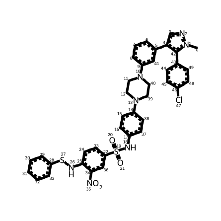 Cn1ncc(-c2cccc(N3CCN(c4ccc(NS(=O)(=O)c5ccc(NSc6ccccc6)c([N+](=O)[O-])c5)cc4)CC3)c2)c1-c1ccc(Cl)cc1